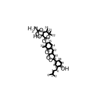 CC(C)=CCc1cc(C(=O)Cc2cc3ccc(OC4OC(C)(C)C(C)C(OC(N)=O)C4O)c(C)c3oc2=O)ccc1O